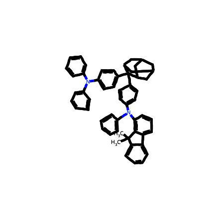 CC1(C)c2ccccc2-c2cccc(N(c3ccccc3)c3ccc(C4(c5ccc(N(c6ccccc6)c6ccccc6)cc5)C5CC6CC(C5)CC4C6)cc3)c21